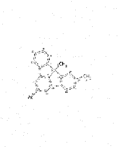 CC(=O)c1ccc(C(C)(c2ccccc2)c2cccc(C)c2)cc1